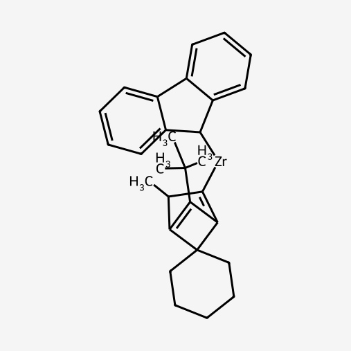 CC1[C]([Zr][CH]2c3ccccc3-c3ccccc32)=C2C(C(C)(C)C)=C1C21CCCCC1